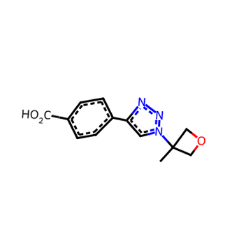 CC1(n2cc(-c3ccc(C(=O)O)cc3)nn2)COC1